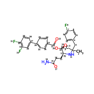 CC(C)(Cc1ccc(F)cc1)N[C@@H](CCC(N)=O)C(=O)OC(=O)c1ccc(-c2ccc(F)c(F)c2)cc1